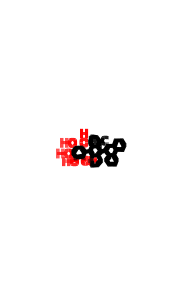 Cc1c(-c2c3c(c(-c4c(O)c(O)c(O)c(O)c4O)c4ccccc24)=CCCC=3)c2ccccc2c2ccccc12